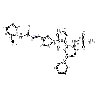 C=CC(c1cc(-c2ccccc2)ccc1NS(C)(=O)=O)S(=O)(=O)n1ccc(/C=C/C(=O)Nc2ccccc2N)c1